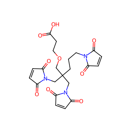 O=C(O)CCOCC(CCCN1C(=O)C=CC1=O)(CN1C(=O)C=CC1=O)CN1C(=O)C=CC1=O